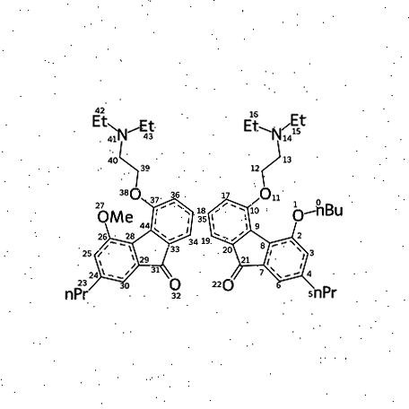 CCCCOc1cc(CCC)cc2c1-c1c(OCCN(CC)CC)cccc1C2=O.CCCc1cc(OC)c2c(c1)C(=O)c1cccc(OCCN(CC)CC)c1-2